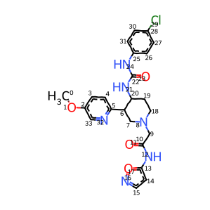 COc1ccc(C2CN(CC(=O)Nc3ccno3)CCC2NC(=O)Nc2ccc(Cl)cc2)nc1